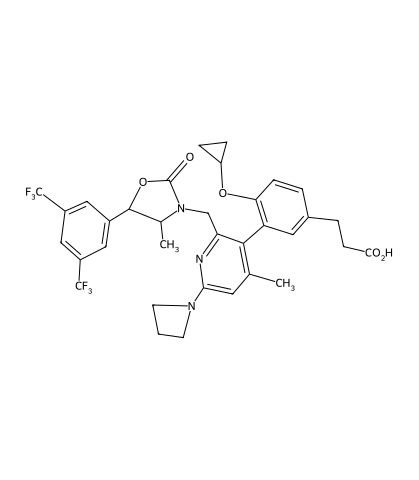 Cc1cc(N2CCC2)nc(CN2C(=O)OC(c3cc(C(F)(F)F)cc(C(F)(F)F)c3)C2C)c1-c1cc(CCC(=O)O)ccc1OC1CC1